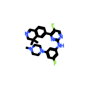 CN1CCN(c2cc(F)cc(Nc3ncc(F)c(-c4ccc5c(c4)C(C)(C)CN=C5)n3)c2)CC1